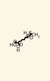 C=C(C)C(=O)OCCCCCCC(C(=O)O)C(=O)O